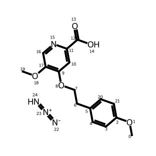 COc1ccc(CCOc2cc(C(=O)O)ncc2OC)cc1.[N-]=[N+]=N